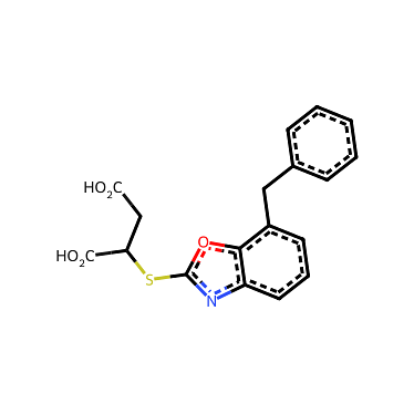 O=C(O)CC(Sc1nc2cccc(Cc3ccccc3)c2o1)C(=O)O